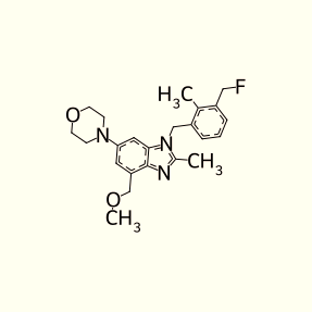 COCc1cc(N2CCOCC2)cc2c1nc(C)n2Cc1cccc(CF)c1C